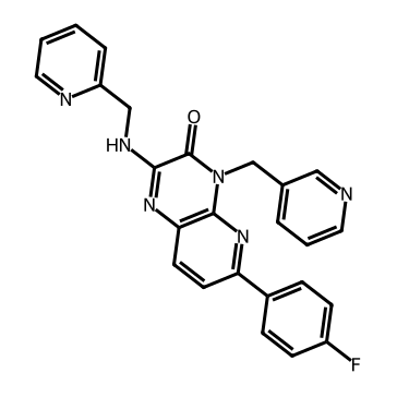 O=c1c(NCc2ccccn2)nc2ccc(-c3ccc(F)cc3)nc2n1Cc1cccnc1